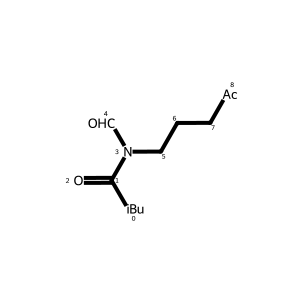 CCC(C)C(=O)N(C=O)CCCC(C)=O